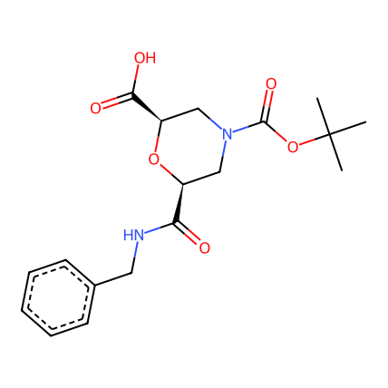 CC(C)(C)OC(=O)N1C[C@@H](C(=O)NCc2ccccc2)O[C@@H](C(=O)O)C1